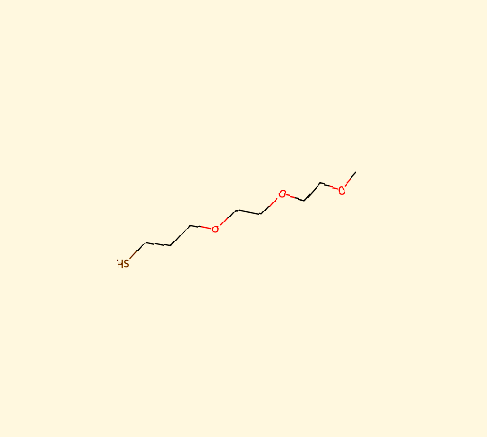 COCCOCCOCCCS